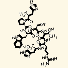 CC(C)C[C@H](NC(=O)[C@H](Cc1c[nH]c2ccccc12)NC(=O)[C@@H]1CCCN1C(=O)[C@@H](N)Cc1c[nH]cn1)C(=O)N[C@H](C(=O)N[C@@H](CCCNC(=N)N)C(=O)N[C@@H](Cc1c[nH]cn1)C(=O)O)[C@@H](C)O